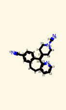 N#Cc1ccc2c(c1)CCc1cccnc1C2=C1CCN(C#N)CC1